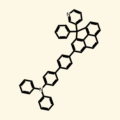 c1ccc(N(c2ccccc2)c2ccc(-c3ccc(-c4cc5c6c(ccc7cccc(c76)C5(c5ccccc5)c5cccnc5)c4)cc3)cc2)cc1